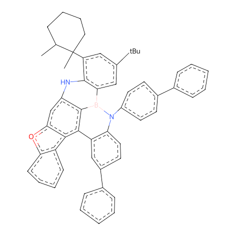 CC1CCCCC1(C)c1cc(C(C)(C)C)cc2c1Nc1cc3oc4ccccc4c3c3c1B2N(c1ccc(-c2ccccc2)cc1)c1ccc(-c2ccccc2)cc1-3